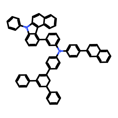 C1=C(c2ccccc2)C=C(c2ccc(N(c3ccc(-c4ccc5ccccc5c4)cc3)c3cccc(-c4cccc5c4c4c6ccccc6ccc4n5-c4ccccc4)c3)cc2)CC1c1ccccc1